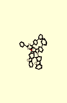 c1ccc(-c2ccc(-c3nc(-c4ccccc4)nc(-c4cc(-c5c(-n6c7ccccc7c7cc(-c8ccccc8)ccc76)ccc6c5oc5ccccc56)c5c(c4)oc4ccccc45)n3)cc2)cc1